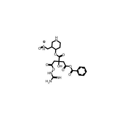 N=C(N)NOC(=O)CC(O)(CC(=O)OC(=O)c1ccccc1)C(=O)OC1CCNCC1C[SH](=O)=O